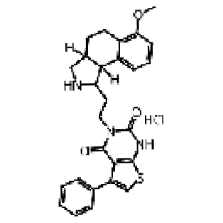 COc1cccc2c1CC[C@H]1CNC(CCn3c(=O)[nH]c4scc(-c5ccccc5)c4c3=O)[C@@H]21.Cl